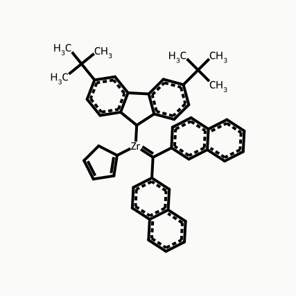 CC(C)(C)c1ccc2c(c1)-c1cc(C(C)(C)C)ccc1[CH]2[Zr]([C]1=CC=CC1)=[C](c1ccc2ccccc2c1)c1ccc2ccccc2c1